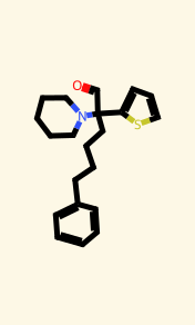 O=CC(CCCCc1ccccc1)(c1cccs1)N1CCCCC1